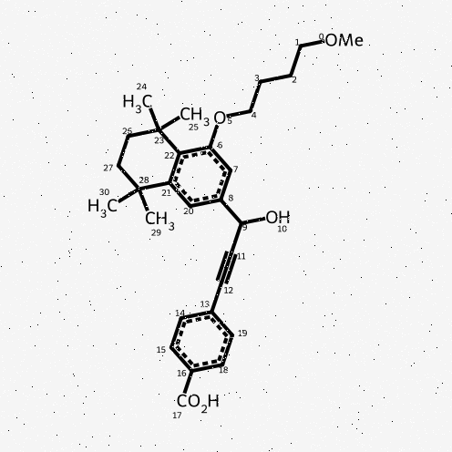 COCCCCOc1cc(C(O)C#Cc2ccc(C(=O)O)cc2)cc2c1C(C)(C)CCC2(C)C